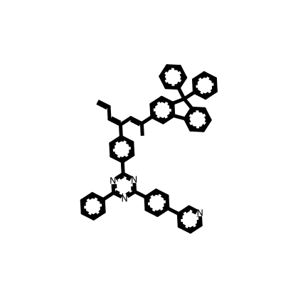 C=C/C=C(\C=C(/C)c1ccc2c(c1)-c1ccccc1C2(c1ccccc1)c1ccccc1)c1ccc(-c2nc(-c3ccccc3)nc(-c3ccc(-c4cccnc4)cc3)n2)cc1